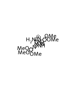 COc1cc2nc(Nc3cn(-c4cc(OC)c(OC)c(OC)c4)cn3)nc(N3CCC[C@H]3C(N)=O)c2cc1OC